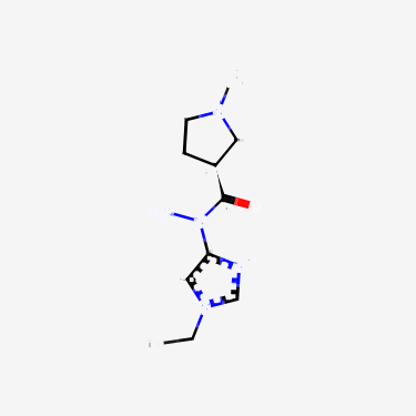 CC(C)Cn1cnc(N(N)C(=O)[C@H]2CCN(C#N)C2)c1